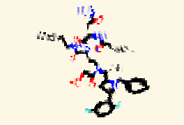 CNCCNC(=O)[C@H](CCN(C(=O)CO)[C@@H](c1cc(-c2cc(F)ccc2F)cn1Cc1ccccc1)C(C)(C)C)NC(=O)[C@H](CC(N)=O)NC(=O)CNC(C)=O